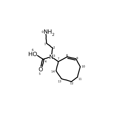 NCCN(C(=O)O)C1C=CCCCCC1